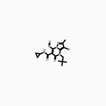 Cc1nn2c(N=O)c(C(=O)NC3CC3)c(=O)n(CC(C)(C)C)c2c1Br